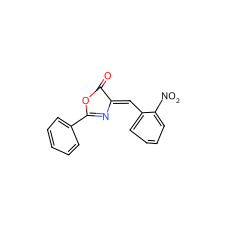 O=C1OC(c2ccccc2)=NC1=Cc1ccccc1[N+](=O)[O-]